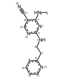 CNc1nc(NCCc2ccccn2)ncc1C#N